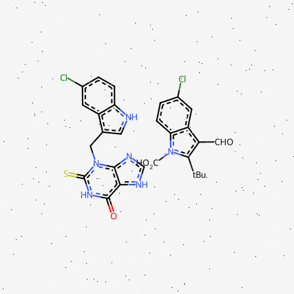 CC(C)(C)c1c(C=O)c2cc(Cl)ccc2n1C(=O)O.O=c1[nH]c(=S)n(Cc2c[nH]c3ccc(Cl)cc23)c2nc[nH]c12